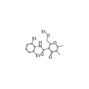 CCOCc1oc(C)c(C)c(=O)c1C(=O)Nc1c(CC)cccc1CC